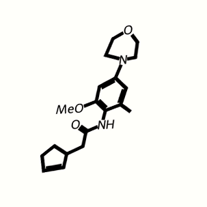 COc1cc(N2CCOCC2)cc(C)c1NC(=O)CC1C=CCC1